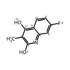 Cc1c(O)nc2cc(F)ccc2c1O